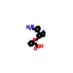 NCc1cccc(-c2cc(COc3ccccc3CC(=O)O)cc3c2CCC3)c1